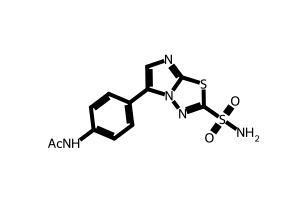 CC(=O)Nc1ccc(-c2cnc3sc(S(N)(=O)=O)nn23)cc1